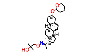 CC(=NOCC(C)(C)O)[C@H]1CC[C@H]2C3=CC=C4C[C@@H](OC5CCCCO5)CC[C@]4(C)[C@H]3CC[C@]12C